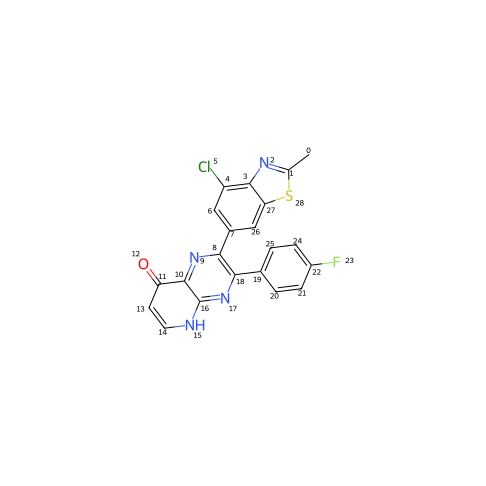 Cc1nc2c(Cl)cc(-c3nc4c(=O)cc[nH]c4nc3-c3ccc(F)cc3)cc2s1